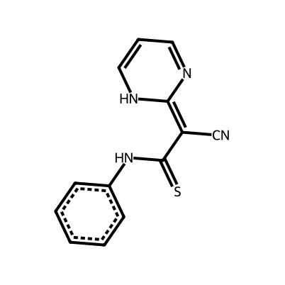 N#CC(C(=S)Nc1ccccc1)=C1N=CC=CN1